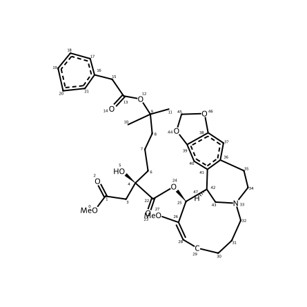 COC(=O)C[C@](O)(CCCC(C)(C)OC(=O)Cc1ccccc1)C(=O)O[C@@H]1/C(OC)=C\CCCCN2CCc3cc4c(cc3[C@H]1C2)OCO4